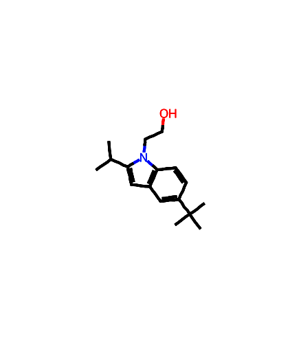 CC(C)c1cc2cc(C(C)(C)C)ccc2n1CCO